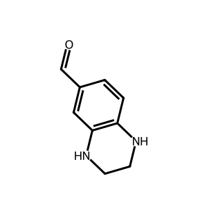 O=Cc1ccc2c(c1)NCCN2